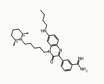 CCCCNc1ccc2nc(-c3cccc(C(=N)N)c3)c(=O)n(CCCCCN3[C@H](C)CCC[C@@H]3C)c2c1